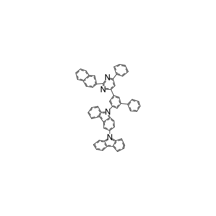 c1ccc(-c2cc(-c3cc(-c4ccccc4)nc(-c4ccc5ccccc5c4)n3)cc(-n3c4ccccc4c4cc(-n5c6ccccc6c6ccccc65)ccc43)c2)cc1